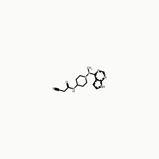 CN(c1ncnc2[nH]ccc12)N1CCC(NC(=O)CC#N)CC1